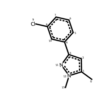 Cc1[c]c(-c2cccc(Cl)c2)nn1C